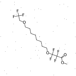 COC(=O)C(F)(F)C(F)(F)OCCCCCCCCOCC(F)(F)F